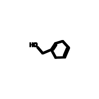 OCC1=CCC=CC1